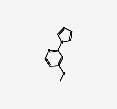 COc1ccnc(-n2cccc2)c1